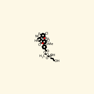 COc1cc(C(=O)OC(C)OC(=O)N(O)CCCO)ccc1NC(=O)[C@@H]1NC[C@](C#N)(c2ccc(Cl)cc2F)[C@@]1(CC(C)(C)C)c1cccc(Cl)c1F